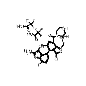 N#Cc1c(N)sc2c(F)ccc(-c3c(F)cc4c5c3c(Cl)nn5CC[C@@H]3CNCCN3C4=O)c12.O=C(O)C(F)(F)F.O=C(O)C(F)(F)F